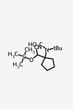 CC(C)(C)N(C(=O)O)C1(C(C#N)O[Si](C)(C)C)CCCC1